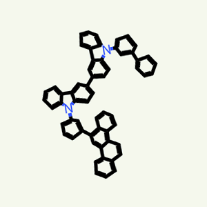 c1ccc(-c2cccc(-n3c4ccccc4c4cc(-c5ccc6c(c5)c5ccccc5n6-c5cccc(-c6cc7c8ccccc8ccc7c7ccccc67)c5)ccc43)c2)cc1